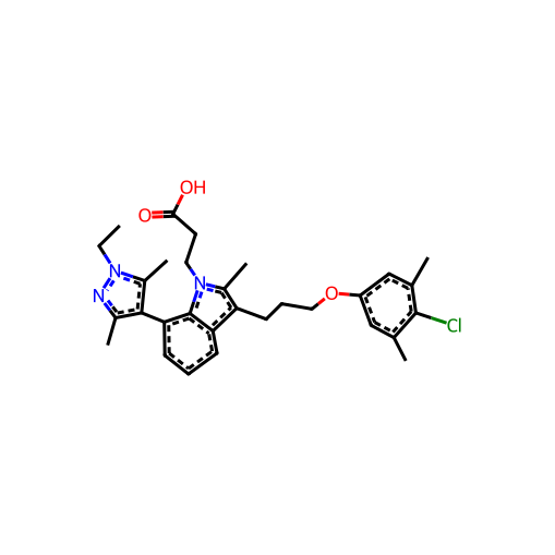 CCn1nc(C)c(-c2cccc3c(CCCOc4cc(C)c(Cl)c(C)c4)c(C)n(CCC(=O)O)c23)c1C